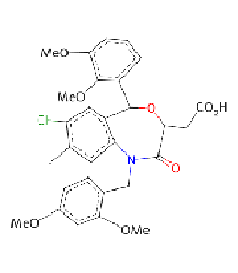 COc1ccc(CN2C(=O)C(CC(=O)O)OC(c3cccc(OC)c3OC)c3cc(Cl)c(C)cc32)c(OC)c1